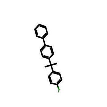 CC(C)(c1ccc(F)cc1)c1ccc(-c2ccccc2)cc1